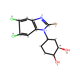 OC1CCC(n2c(Br)nc3cc(Cl)c(Cl)cc32)C[C@H]1O